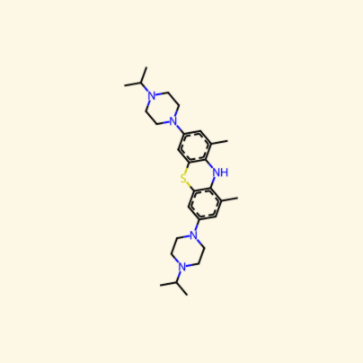 Cc1cc(N2CCN(C(C)C)CC2)cc2c1Nc1c(C)cc(N3CCN(C(C)C)CC3)cc1S2